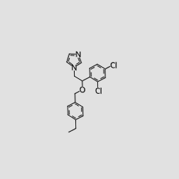 CCc1ccc(COC(Cn2ccnc2)c2ccc(Cl)cc2Cl)cc1